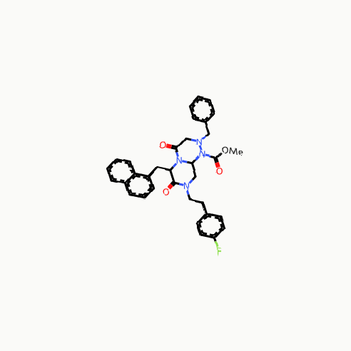 COC(=O)N1C2CN(CCc3ccc(F)cc3)C(=O)C(Cc3cccc4ccccc34)N2C(=O)CN1Cc1ccccc1